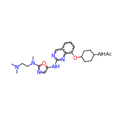 CC(=O)NC1CCC(Oc2cccc3cnc(Nc4cnc(N(C)CCN(C)C)o4)nc23)CC1